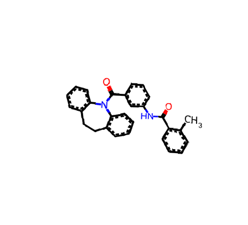 Cc1ccccc1C(=O)Nc1cccc(C(=O)N2c3ccccc3CCc3ccccc32)c1